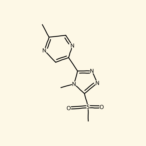 Cc1cnc(-c2nnc(S(C)(=O)=O)n2C)cn1